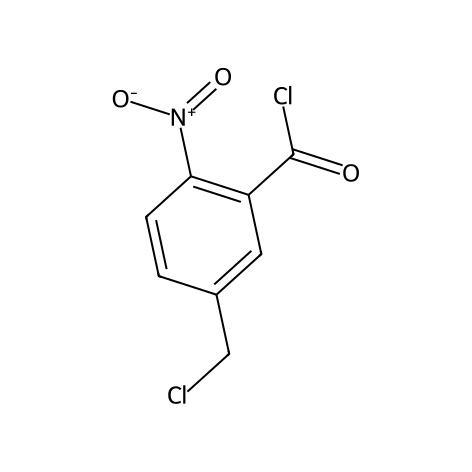 O=C(Cl)c1cc(CCl)ccc1[N+](=O)[O-]